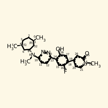 C[C@@H]1CC[C@H](C)C[C@@H](N(C)c2ccc(-c3cc(F)c(-c4ccn(C)c(=O)c4)cc3O)nn2)C1